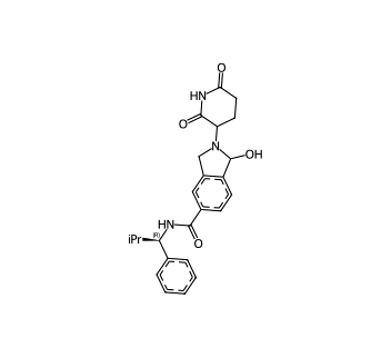 CC(C)[C@@H](NC(=O)c1ccc2c(c1)CN(C1CCC(=O)NC1=O)C2O)c1ccccc1